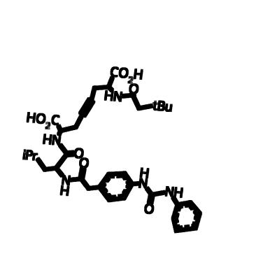 CC(C)CC(NC(=O)Cc1ccc(NC(=O)Nc2ccccc2)cc1)C(=O)NC(CC#CCC(NC(=O)CC(C)(C)C)C(=O)O)C(=O)O